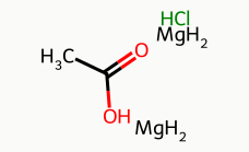 CC(=O)O.Cl.[MgH2].[MgH2]